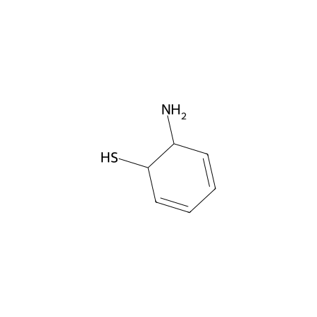 NC1C=CC=CC1S